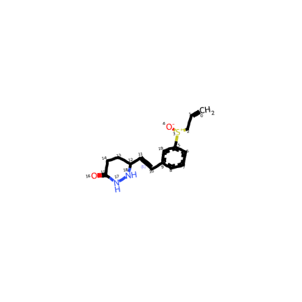 C=CC[S+]([O-])c1cccc(/C=C/C2CCC(=O)NN2)c1